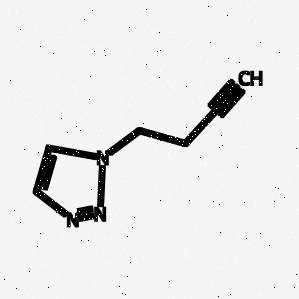 C#CCCn1ccnn1